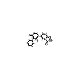 O=c1[nH]nc2ccc(-c3ccc(F)c(-c4ccccc4)c3F)cn12